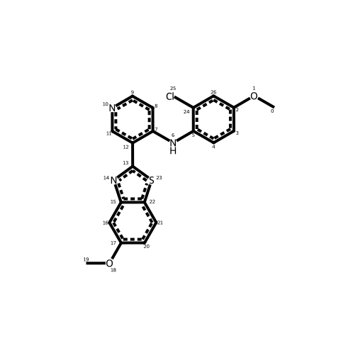 COc1ccc(Nc2ccncc2-c2nc3cc(OC)ccc3s2)c(Cl)c1